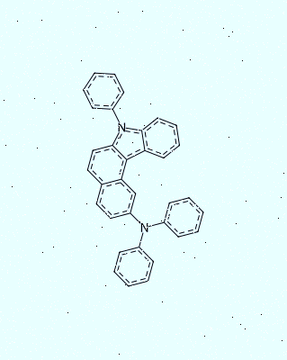 c1ccc(N(c2ccccc2)c2ccc3ccc4c(c3c2)c2ccccc2n4-c2ccccc2)cc1